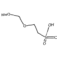 COCOCCS(=O)(=O)O